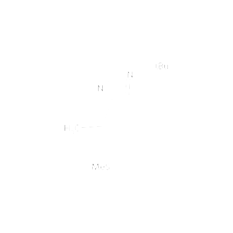 CSCC(C)c1cn(C(C)(C)C)cn1